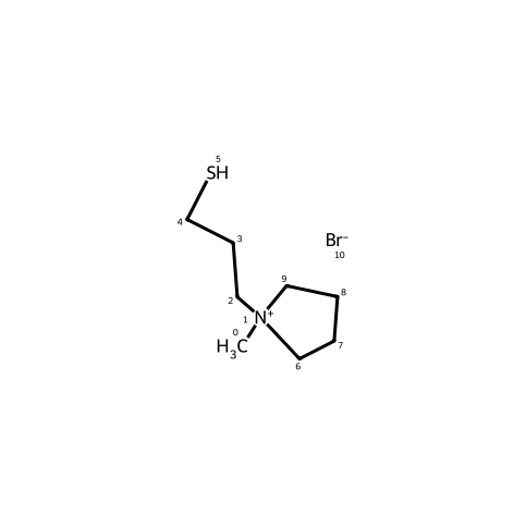 C[N+]1(CCCS)CCCC1.[Br-]